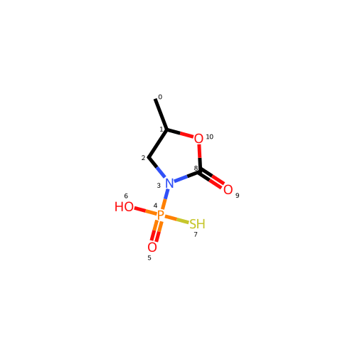 CC1CN(P(=O)(O)S)C(=O)O1